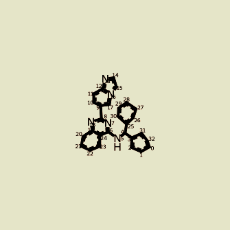 c1ccc(C(Nc2nc(-c3ccc4nccn4c3)nc3ccccc23)c2ccccc2)cc1